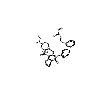 CC[C@H](C)N1CCN(Cc2c(C(=O)O)c3ccccc3c(=O)n2-c2ccccc2)CC1.NC(=O)CCc1ccccc1